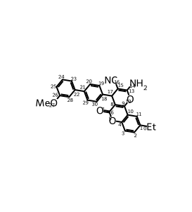 CCc1ccc2oc(=O)c3c(c2c1)OC(N)=C(C#N)C3c1ccc(-c2cccc(OC)c2)cc1